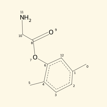 Cc1ccc(C)c(OC(=O)CN)c1